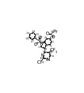 CC(C)S(=O)(=O)c1ccc2c(-c3nc(Cl)ncc3C(F)(F)F)cn(S(=O)(=O)c3ccccc3)c2c1